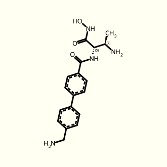 C[C@@H](N)[C@H](NC(=O)c1ccc(-c2ccc(CN)cc2)cc1)C(=O)NO